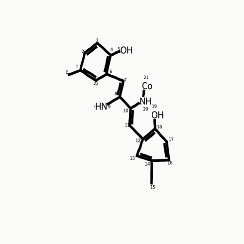 Cc1ccc(O)c(C=C([NH])C(=Cc2cc(C)ccc2O)[NH][Co])c1